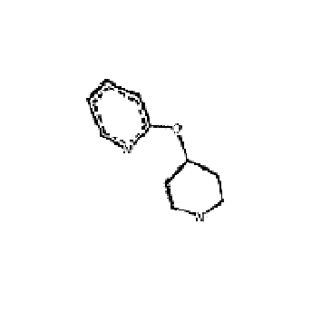 c1ccc(OC2CC[N]CC2)nc1